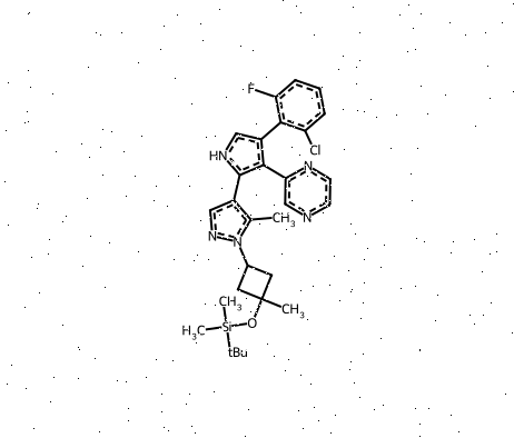 Cc1c(-c2[nH]cc(-c3c(F)cccc3Cl)c2-c2cnccn2)cnn1C1CC(C)(O[Si](C)(C)C(C)(C)C)C1